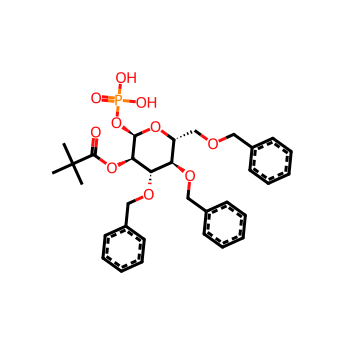 CC(C)(C)C(=O)O[C@H]1[C@@H](OP(=O)(O)O)O[C@H](COCc2ccccc2)[C@@H](OCc2ccccc2)[C@@H]1OCc1ccccc1